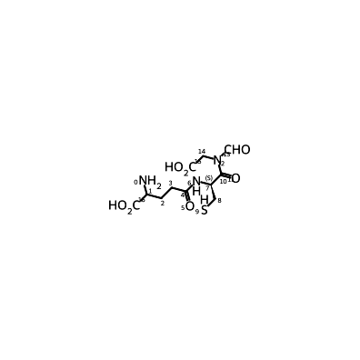 NC(CCC(=O)N[C@H](CS)C(=O)N(C=O)CC(=O)O)C(=O)O